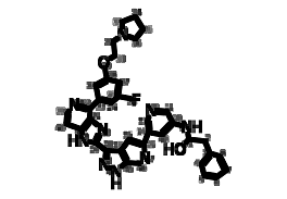 OC(Cc1ccccc1)Nc1cncc(-c2cc3c(-c4nc5c(-c6cc(F)cc(OCCN7CCCC7)c6)nccc5[nH]4)n[nH]c3cn2)c1